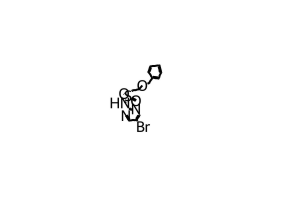 O=S(=O)(CCOCc1ccccc1)Nc1ncc(Br)cn1